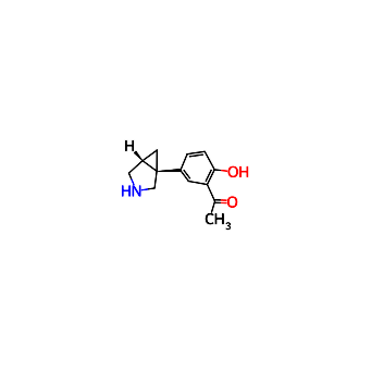 CC(=O)c1cc([C@@]23CNC[C@@H]2C3)ccc1O